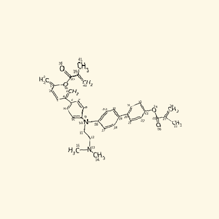 C=C(/C=C\C(=C)c1ccc(N(CCN(C)C)c2ccc(-c3ccc(OC(=O)C(=C)C)cc3)cc2)cc1)OC(=O)C(=C)C